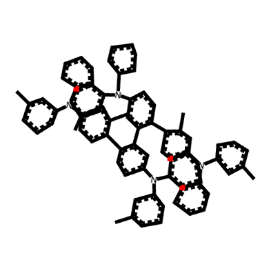 Cc1cccc(N(c2ccccc2)c2ccc(-c3ccc(N(c4ccccc4)c4cccc(C)c4)cc3-c3cc(N(c4ccccc4)c4cccc(C)c4)ccc3-c3ccc(N(c4ccccc4)c4cccc(C)c4)cc3C)c(C)c2)c1